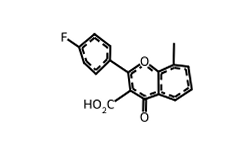 Cc1cccc2c(=O)c(C(=O)O)c(-c3ccc(F)cc3)oc12